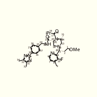 COCC[C@H](c1nccc(C)c1F)N1C[C@@H](C)N(C(=O)C(C)C)[C@@H](C(=O)NCc2ccc(-n3nc(C)c(C)n3)cc2)C1